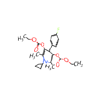 CCOC(=O)OC1=C(C)N(C2CC2)C(C)=C(OC(=O)OCC)C1c1ccc(F)cc1